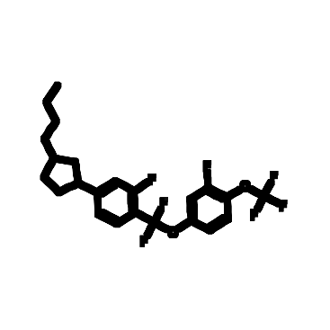 CCCCC1CCC(c2ccc(C(F)(F)Oc3ccc(OC(F)(F)F)c(F)c3)c(F)c2)C1